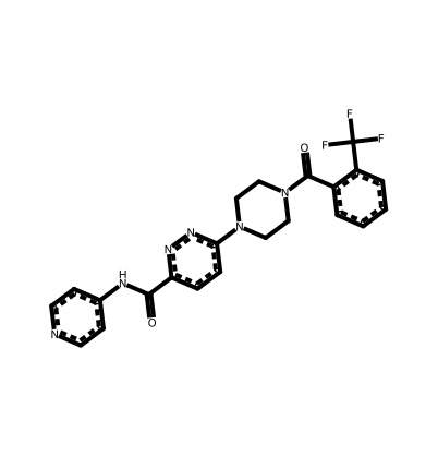 O=C(Nc1ccncc1)c1ccc(N2CCN(C(=O)c3ccccc3C(F)(F)F)CC2)nn1